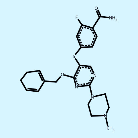 CN1CCN(c2ncc(Sc3ccc(C(N)=O)c(F)c3)c(OCC3=CCCC=C3)n2)CC1